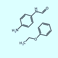 CCOc1ccccc1.Nc1ccc(NC=O)cc1